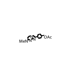 CNc1ccn2cc(-c3ccc(COC(C)=O)cc3)nc2n1